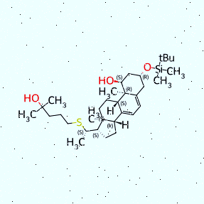 C[C@H](SCCCC(C)(C)O)[C@H]1CC[C@H]2C3=CC=C4C[C@@H](O[Si](C)(C)C(C)(C)C)C[C@H](O)[C@]4(C)[C@H]3CC[C@]12C